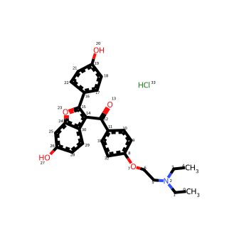 CCN(CC)CCOc1ccc(C(=O)c2c(-c3ccc(O)cc3)oc3cc(O)ccc23)cc1.Cl